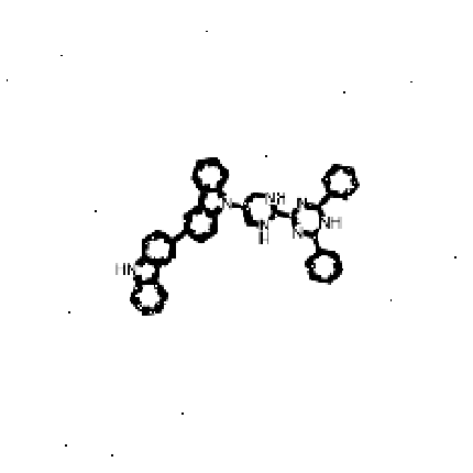 C1=C(n2c3ccccc3c3cc(-c4ccc5[nH]c6ccccc6c5c4)ccc32)CNC(C2=NC(c3ccccc3)NC(c3ccccc3)=N2)N1